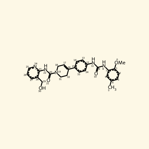 COc1ccc(C)cc1NC(=O)Nc1ccc(C2=CCN(C(=O)Nc3ncccc3CO)CC2)cc1